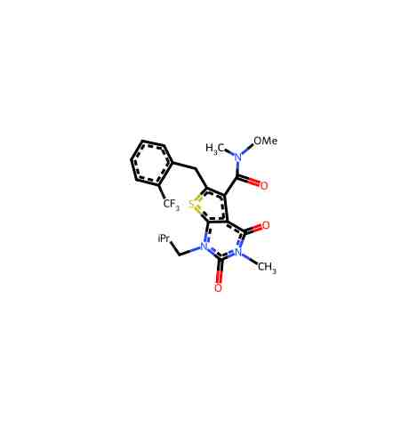 CON(C)C(=O)c1c(Cc2ccccc2C(F)(F)F)sc2c1c(=O)n(C)c(=O)n2CC(C)C